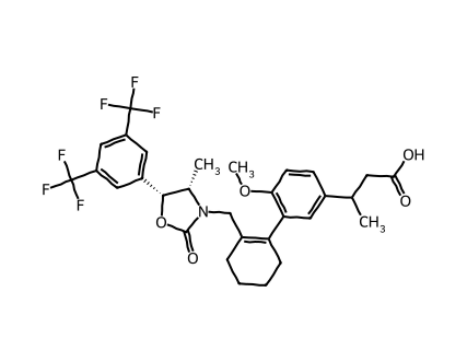 COc1ccc(C(C)CC(=O)O)cc1C1=C(CN2C(=O)O[C@H](c3cc(C(F)(F)F)cc(C(F)(F)F)c3)[C@@H]2C)CCCC1